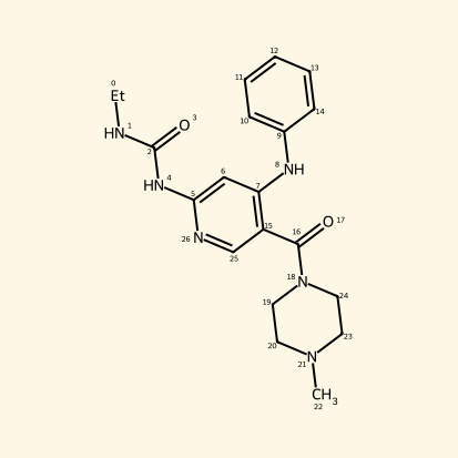 CCNC(=O)Nc1cc(Nc2ccccc2)c(C(=O)N2CCN(C)CC2)cn1